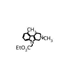 CCOC(=O)Cn1c2c(c3c(C)cccc31)CCN(C)C2